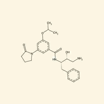 CC(C)Oc1cc(C(=O)N[C@@H](Cc2ccccc2)[C@H](O)CN)cc(N2CCCC2=O)c1